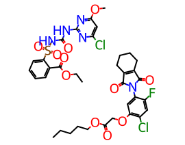 CCCCCOC(=O)COc1cc(N2C(=O)C3=C(CCCC3)C2=O)c(F)cc1Cl.CCOC(=O)c1ccccc1S(=O)(=O)NC(=O)Nc1nc(Cl)cc(OC)n1